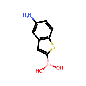 Nc1ccc2sc(B(O)O)cc2c1